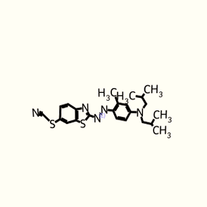 Cc1cc(N(CC(C)C)CC(C)C)ccc1/N=N/c1nc2ccc(SC#N)cc2s1